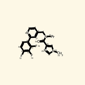 CC(C)N(Cc1ccnc(-c2ccc(F)c(F)c2F)c1)C(=O)c1cn(C)cn1